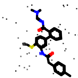 Cc1ccc(CC(=O)Nc2cc(-c3ccccc3C(=O)/N=C/N(C)C)ccc2SC(C)(C)C)cc1